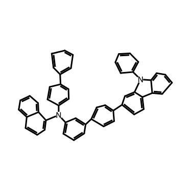 c1ccc(-c2ccc(N(c3cccc(-c4ccc(-c5ccc6c7ccccc7n(-c7ccccc7)c6c5)cc4)c3)c3cccc4ccccc34)cc2)cc1